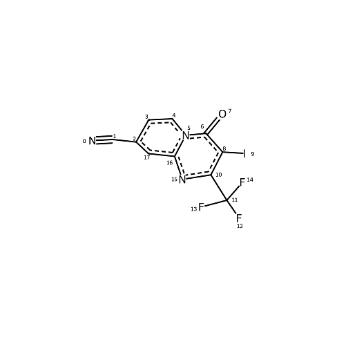 N#Cc1ccn2c(=O)c(I)c(C(F)(F)F)nc2c1